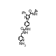 CC(C)c1nn(-c2ccc(NC(=O)NCc3ccc(N)nc3)cc2)cc1C(=O)NC1CC1